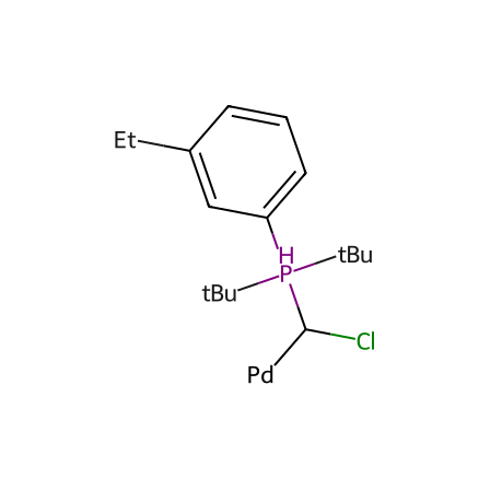 CCc1cccc([PH]([CH](Cl)[Pd])(C(C)(C)C)C(C)(C)C)c1